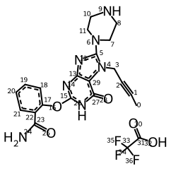 CC#CCn1c(N2CCNCC2)nc2nc(Oc3ccccc3C(N)=O)[nH]c(=O)c21.O=C(O)C(F)(F)F